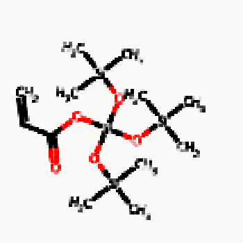 C=CC(=O)O[Si](O[Si](C)(C)C)(O[Si](C)(C)C)O[Si](C)(C)C